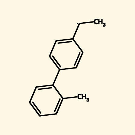 C[CH]c1ccc(-c2ccccc2C)cc1